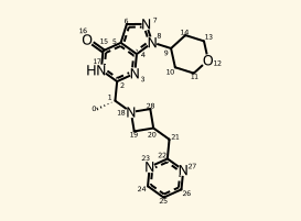 C[C@H](c1nc2c(cnn2C2CCOCC2)c(=O)[nH]1)N1CC(Cc2ncccn2)C1